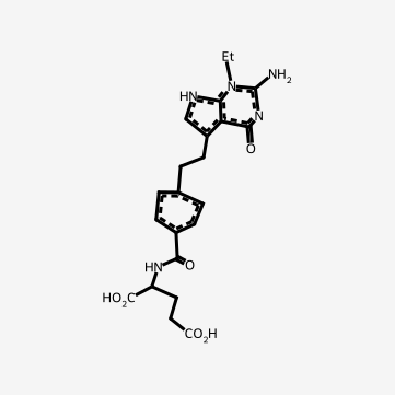 CCn1c(N)nc(=O)c2c(CCc3ccc(C(=O)NC(CCC(=O)O)C(=O)O)cc3)c[nH]c21